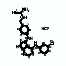 Cl.N=C(N)NCc1ccc(Nc2n[nH]c3ncnc(Nc4cccc(Cl)c4)c23)cc1